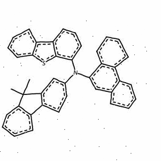 CC1(C)c2ccccc2-c2ccc(N(c3cc4ccccc4c4ccccc34)c3cccc4c3sc3ccccc34)cc21